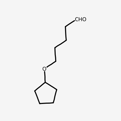 O=CCCCCOC1CCCC1